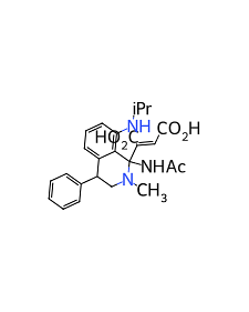 CC(=O)NC1(C(=CC(=O)O)C(=O)O)c2c(NC(C)C)cccc2C(c2ccccc2)CN1C